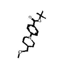 COCC1CCN(c2ccc(C(=O)OC(C)(C)C)cc2)CC1